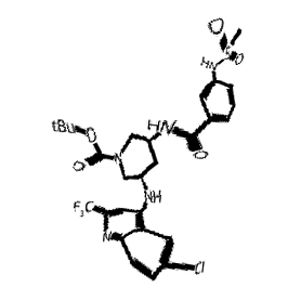 CC(C)(C)OC(=O)N1C[C@@H](NC(=O)c2cccc(NS(C)(=O)=O)c2)C[C@@H](Nc2cc(C(F)(F)F)nc3ccc(Cl)cc23)C1